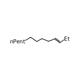 CCC=CCCCCCCCCC